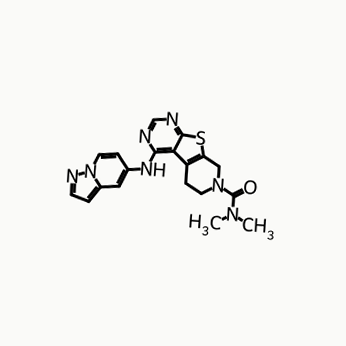 CN(C)C(=O)N1CCc2c(sc3ncnc(Nc4ccn5nccc5c4)c23)C1